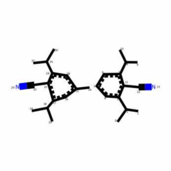 CC(C)c1cccc(C(C)C)c1C#N.Cc1cc(C(C)C)c(C#N)c(C(C)C)c1